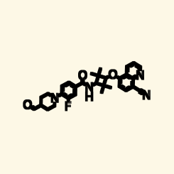 CC1(C)C(NC(=O)c2ccc(N3CCC(C=O)CC3)c(F)c2)C(C)(C)C1Oc1ccc(C#N)c2ncccc12